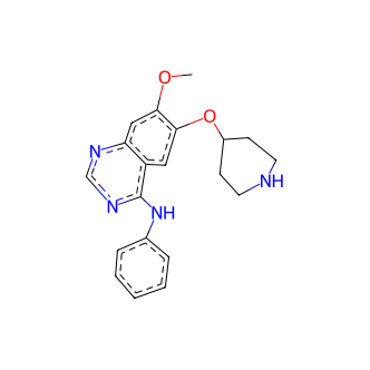 COc1cc2ncnc(Nc3ccccc3)c2cc1OC1CCNCC1